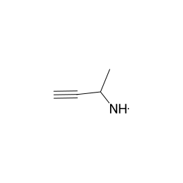 C#CC(C)[NH]